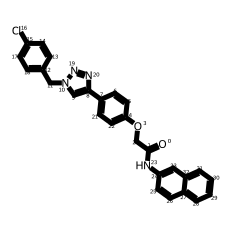 O=C(COc1ccc(-c2cn(Cc3ccc(Cl)cc3)nn2)cc1)Nc1ccc2ccccc2c1